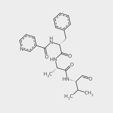 CC(C)[C@@H](C=O)NC(=O)[C@H](C)NC(=O)[C@@H](Cc1ccccc1)NC(=O)c1cccnc1